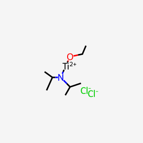 CC[O][Ti+2][N](C(C)C)C(C)C.[Cl-].[Cl-]